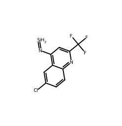 FC(F)(F)c1cc(N=[SiH2])c2cc(Cl)ccc2n1